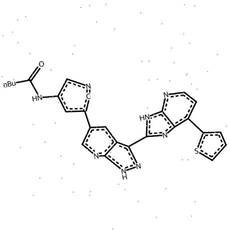 CCCCC(=O)Nc1cncc(-c2cnc3[nH]nc(-c4nc5c(-c6cccs6)ccnc5[nH]4)c3c2)c1